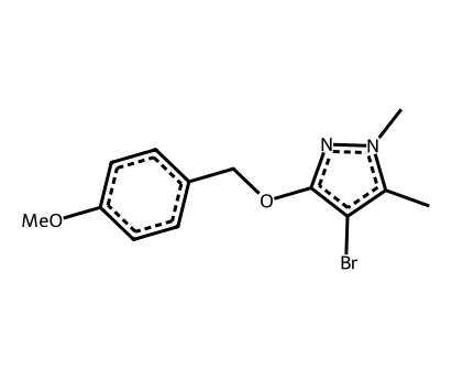 COc1ccc(COc2nn(C)c(C)c2Br)cc1